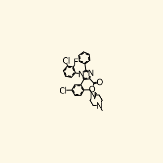 CCOC(=O)c1nc(-c2ccccc2)n(-c2cccc(Cl)c2F)c1-c1cc(Cl)ccc1CN1CCN(C)CC1